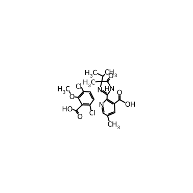 COc1c(Cl)ccc(Cl)c1C(=O)O.Cc1cnc(C2=NC(C)(C(C)C)C(=O)N2)c(C(=O)O)c1